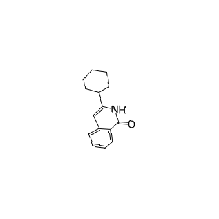 O=c1[nH]c(C2CCCCC2)cc2ccccc12